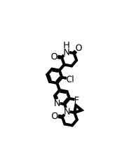 O=C1CCC(c2cccc(-c3cnc(N4C(=O)CCCC45CC5)c(F)c3)c2Cl)C(=O)N1